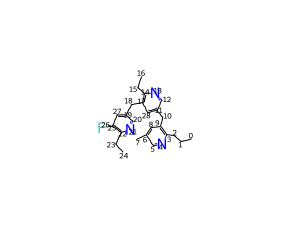 CCCc1ncc(C)cc1Cc1cnc(CC)c(Cc2cnc(CC)c(F)c2)c1